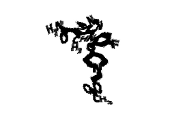 CC(=O)OCCN1CCC(Oc2cc(F)ccc2Nc2ncnc3sc(C(N)=O)c(C)c23)CC1